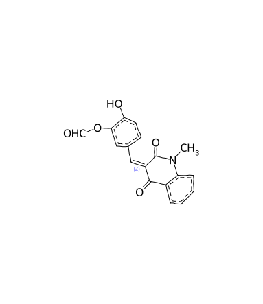 CN1C(=O)/C(=C\c2ccc(O)c(OC=O)c2)C(=O)c2ccccc21